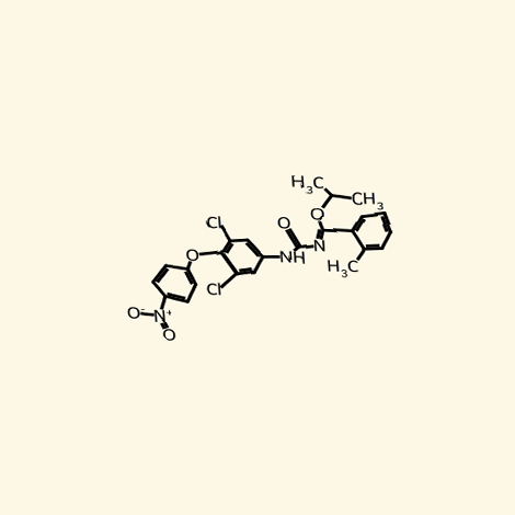 Cc1ccccc1C(=NC(=O)Nc1cc(Cl)c(Oc2ccc([N+](=O)[O-])cc2)c(Cl)c1)OC(C)C